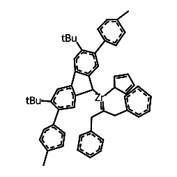 Cc1ccc(-c2cc3c(cc2C(C)(C)C)-c2cc(C(C)(C)C)c(-c4ccc(C)cc4)cc2[CH]3[Zr](=[C](Cc2ccccc2)Cc2ccccc2)[CH]2C=CC=C2)cc1